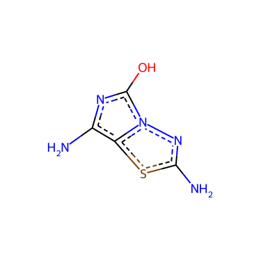 Nc1nn2c(O)nc(N)c2s1